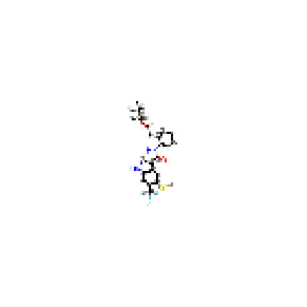 CSc1cc2c(cc1C(F)(F)F)NCC2C(=O)Nc1ccccc1CCO[Si](C)(C)C(C)(C)C